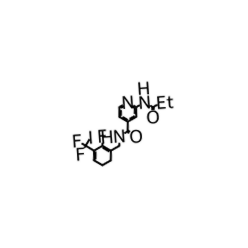 CCC(=O)Nc1cc(C(=O)NCC2=C(F)C(C(F)(F)I)=CCC2)ccn1